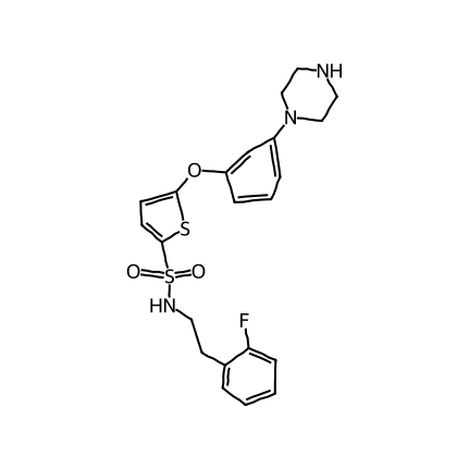 O=S(=O)(NCCc1ccccc1F)c1ccc(Oc2cccc(N3CCNCC3)c2)s1